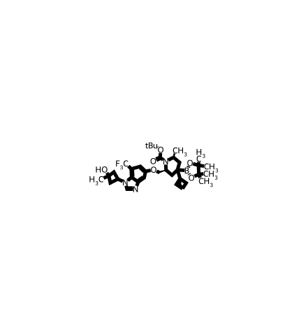 C[C@H]1CC(B2OC(C)(C)C(C)(C)O2)(C23CC(C2)C3)C[C@@H](COc2cc(C(F)(F)F)c3c(c2)ncn3C2CC(C)(O)C2)N1C(=O)OC(C)(C)C